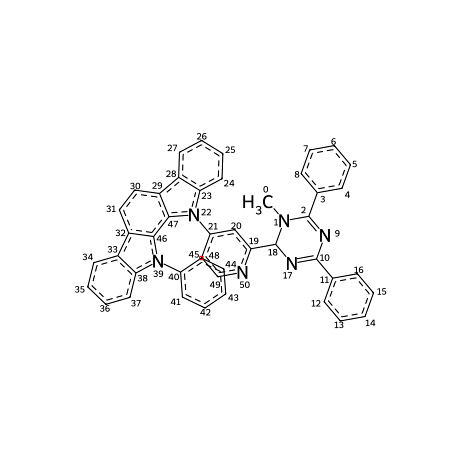 CN1C(c2ccccc2)=NC(c2ccccc2)=NC1c1cc(-n2c3ccccc3c3ccc4c5ccccc5n(-c5ccccc5)c4c32)ccn1